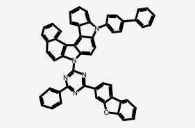 c1ccc(-c2ccc(-n3c4ccccc4c4c5c6c7ccccc7ccc6n(-c6nc(-c7ccccc7)nc(-c7ccc8c(c7)oc7ccccc78)n6)c5ccc43)cc2)cc1